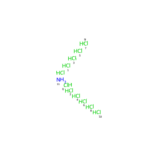 Cl.Cl.Cl.Cl.Cl.Cl.Cl.Cl.Cl.Cl.Cl.N